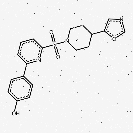 O=S(=O)(c1cccc(-c2ccc(O)cc2)n1)N1CCC(c2cnco2)CC1